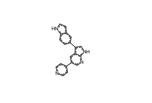 c1cc(-c2cnc3[nH]cc(-c4ccc5[nH]ccc5c4)c3c2)ccn1